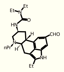 CCCN1C[C@@H](NC(=O)N(CC)CC)C[C@@H]2c3cc(C=O)cc4[nH]c(CC)c(c34)C[C@H]21